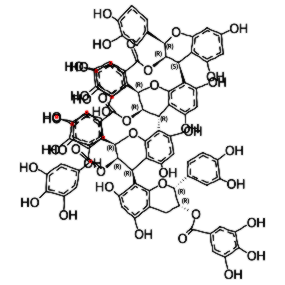 O=C(O[C@@H]1[C@H](c2c(O)cc(O)c3c2O[C@H](c2ccc(O)c(O)c2)[C@H](OC(=O)c2cc(O)c(O)c(O)c2)C3)c2c(O)cc(O)c([C@H]3c4c(O)cc(O)c([C@@H]5c6c(O)cc(O)cc6O[C@H](c6ccc(O)c(O)c6)[C@@H]5OC(=O)c5cc(O)c(O)c(O)c5)c4O[C@H](c4ccc(O)c(O)c4)[C@@H]3OC(=O)c3cc(O)c(O)c(O)c3)c2O[C@@H]1c1ccc(O)c(O)c1)c1cc(O)c(O)c(O)c1